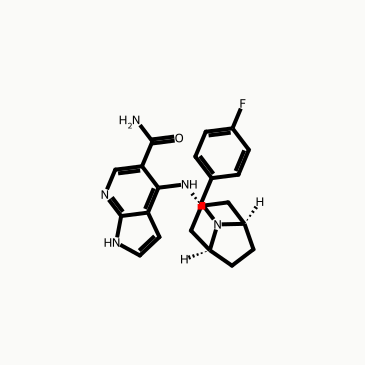 NC(=O)c1cnc2[nH]ccc2c1N[C@@H]1C[C@H]2CC[C@@H](C1)N2Cc1ccc(F)cc1